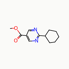 COC(=O)c1cnc(C2CCCCC2)nc1